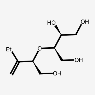 C=C(CC)[C@H](CO)O[C@H](CO)[C@@H](O)CO